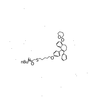 CCCCN(C)C(=O)CSCCCCCOc1ccc(C2=C(c3ccccc3)CCCc3c(OC4CCCCO4)cccc32)cc1